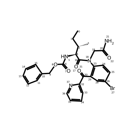 CC[C@H](C)[C@H](NC(=O)OCc1ccccc1)C(=O)N(CC(N)=O)c1ccc(Br)cc1C(=O)c1ccccn1